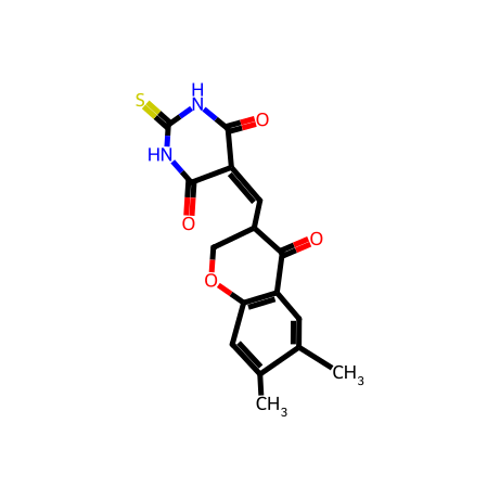 Cc1cc2c(cc1C)C(=O)C(C=C1C(=O)NC(=S)NC1=O)CO2